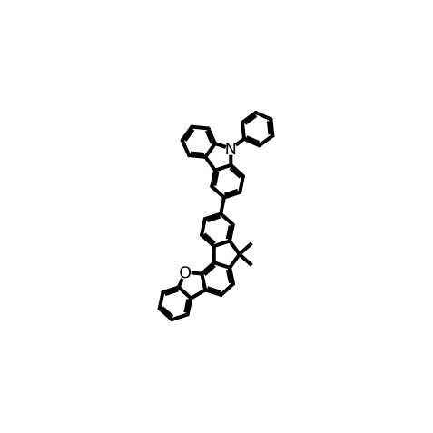 CC1(C)c2cc(-c3ccc4c(c3)c3ccccc3n4-c3ccccc3)ccc2-c2c1ccc1c2oc2ccccc21